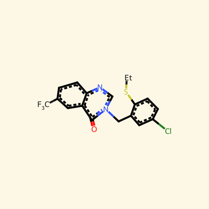 CCSc1ccc(Cl)cc1Cn1cnc2ccc(C(F)(F)F)cc2c1=O